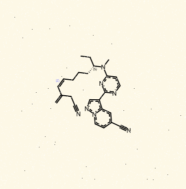 C=C(/C=C\CCC[C@H](CC)N(C)c1ccnc(-c2cnn3ccc(C#N)cc23)n1)CC#N